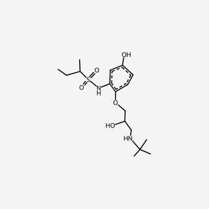 CCC(C)S(=O)(=O)Nc1cc(O)ccc1OCC(O)CNC(C)(C)C